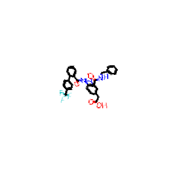 O=C(O)Cc1ccc(NC(=O)c2ccccc2-c2ccc(C(F)(F)F)cc2)c(C(=O)NCc2ccccc2)c1